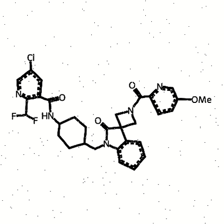 COc1ccc(C(=O)N2CC3(C2)C(=O)N(CC2CCC(NC(=O)c4cc(Cl)cnc4C(F)F)CC2)c2ccccc23)nc1